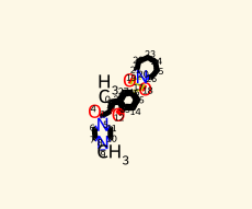 Cc1c(C(=O)N2CCN(C)CC2)oc2ccc(S(=O)(=O)N3CCCCCC3)cc12